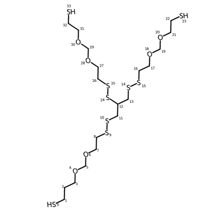 SCCCOCOCCSSCC(CSSCCOCOCCS)SSCCOCOCCS